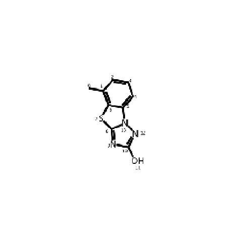 Cc1cccc2c1sc1nc(O)nn12